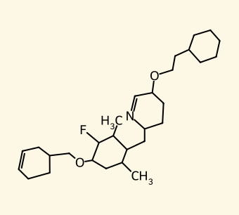 CC1CC(OCC2CC=CCC2)C(F)C(C)C1CC1CCC(OCCC2CCCCC2)C=N1